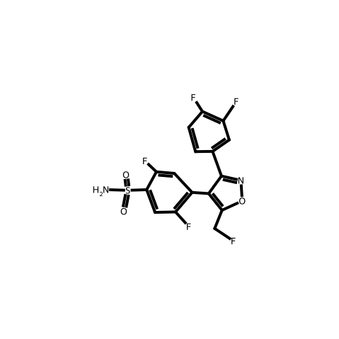 NS(=O)(=O)c1cc(F)c(-c2c(-c3ccc(F)c(F)c3)noc2CF)cc1F